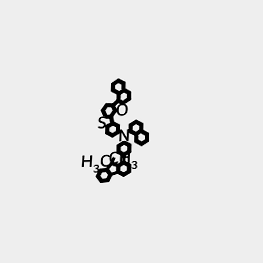 CC1(C)c2ccccc2-c2cccc(-c3ccc(N(c4ccc5sc6ccc7c(oc8ccc9ccccc9c87)c6c5c4)c4cccc5ccccc45)cc3)c21